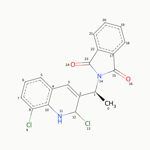 C[C@@H](C1=Cc2cccc(Cl)c2NC1Cl)N1C(=O)c2ccccc2C1=O